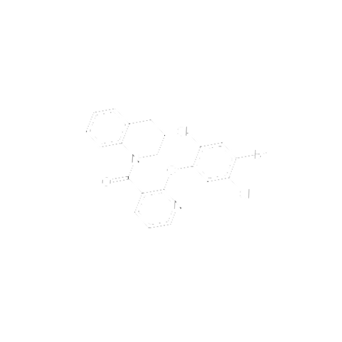 O=C(c1cccnc1Oc1cc(Cl)c(Br)cc1Cl)N1CCCc2ccccc21